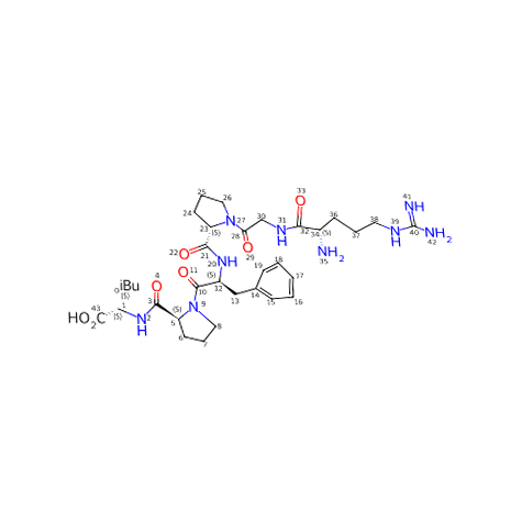 CC[C@H](C)[C@H](NC(=O)[C@@H]1CCCN1C(=O)[C@H](Cc1ccccc1)NC(=O)[C@@H]1CCCN1C(=O)CNC(=O)[C@@H](N)CCCNC(=N)N)C(=O)O